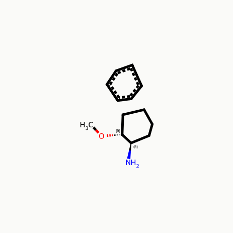 CO[C@@H]1CCCC[C@H]1N.c1ccccc1